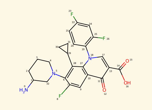 NC1CCCN(c2c(F)cc3c(=O)c(C(=O)O)cn(-c4ccc(F)cc4F)c3c2C2CC2)C1